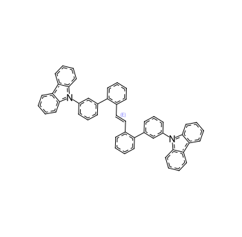 C(=C\c1ccccc1-c1cccc(-n2c3ccccc3c3ccccc32)c1)/c1ccccc1-c1cccc(-n2c3ccccc3c3ccccc32)c1